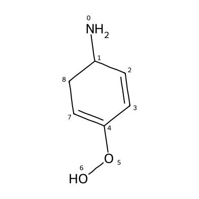 NC1C=CC(OO)=CC1